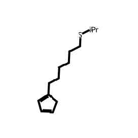 CC(C)SCCCCCCC1=CC=CC1